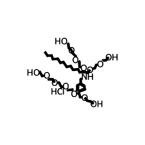 CCCCCCCCCCCCC(COCCOCCO)(NCc1ccccc1)OCCOCCOCCO.Cl.OCCOCCOCCOCCOCCOCCO